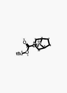 CC(C)(C)OC(=O)N1CC2CCC(C1)N2N=O